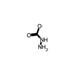 NNC([O])=O